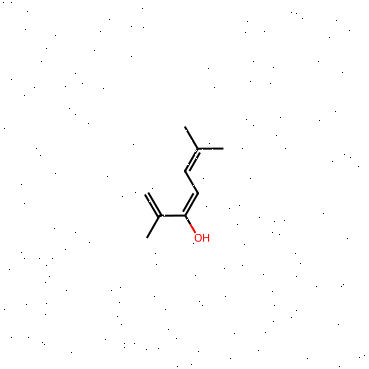 C=C(C)/C(O)=C\C=C(C)C